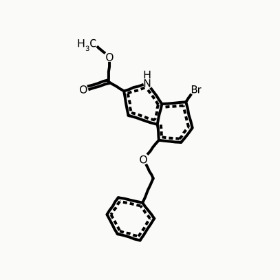 COC(=O)c1cc2c(OCc3ccccc3)ccc(Br)c2[nH]1